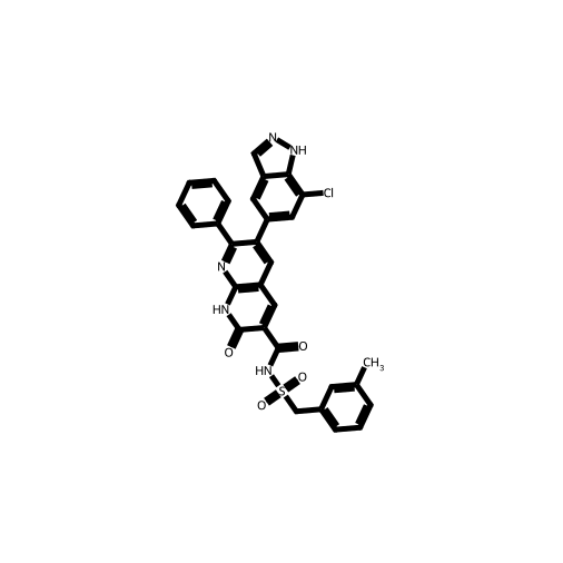 Cc1cccc(CS(=O)(=O)NC(=O)c2cc3cc(-c4cc(Cl)c5[nH]ncc5c4)c(-c4ccccc4)nc3[nH]c2=O)c1